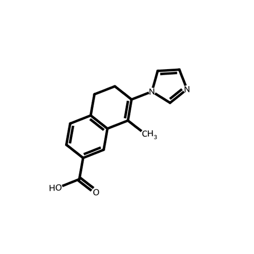 CC1=C(n2ccnc2)CCc2ccc(C(=O)O)cc21